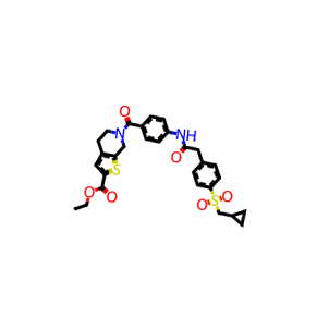 CCOC(=O)c1cc2c(s1)CN(C(=O)c1ccc(NC(=O)Cc3ccc(S(=O)(=O)CC4CC4)cc3)cc1)CC2